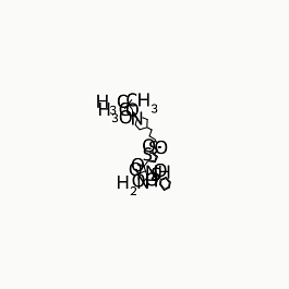 CC(C)(C)OC(=O)N1CCC(CCCS(=O)(=O)c2ccc(C(=O)C(CN)(NS(=O)(=O)c3ccccc3)C(=O)O)s2)CC1